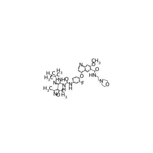 COc1cc2nccc(Oc3ccc(NC(=O)Nc4[nH]c(C(C)(C)C)nc4-c4c(C)noc4C)cc3F)c2cc1C(=O)NCCN1CCOCC1